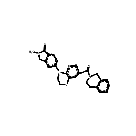 CN1Cc2cc(N3CCOc4cc(C(=O)N5CCc6ccccc6C5)cnc43)ccc2C1=O